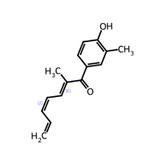 C=C/C=C\C=C(/C)C(=O)c1ccc(O)c(C)c1